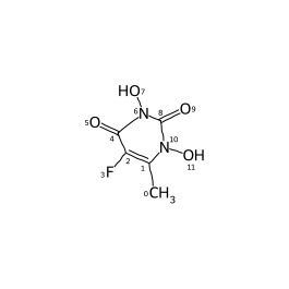 Cc1c(F)c(=O)n(O)c(=O)n1O